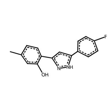 Cc1ccc(-c2cc(-c3ccc(F)cc3)[nH]n2)c(O)c1